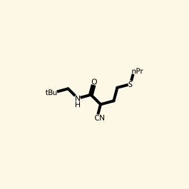 CCCSCCC(C#N)C(=O)NCC(C)(C)C